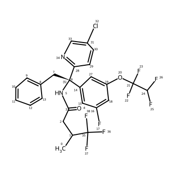 CC(CC(=O)N[C@@](Cc1ccccc1)(c1cc(F)cc(OC(F)(F)C(F)F)c1)c1ccc(Cl)cn1)C(F)(F)F